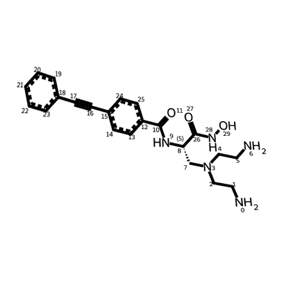 NCCN(CCN)C[C@H](NC(=O)c1ccc(C#Cc2ccccc2)cc1)C(=O)NO